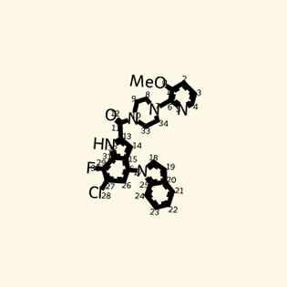 COc1cccnc1N1CCN(C(=O)c2cc3c(-n4ccc5ccccc54)cc(Cl)c(F)c3[nH]2)CC1